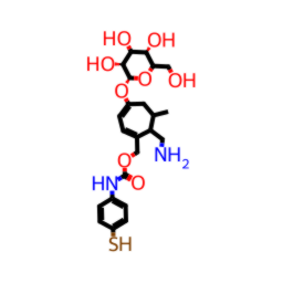 CC1CC(O[C@@H]2OC(CO)[C@H](O)C(O)[C@@H]2O)=CC=C(COC(=O)Nc2ccc(S)cc2)C1CN